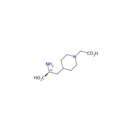 N[C@@H](CC1CCN(CC(=O)O)CC1)C(=O)O